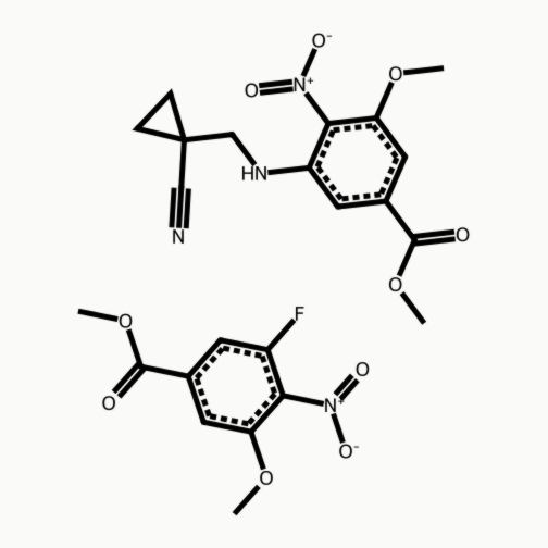 COC(=O)c1cc(F)c([N+](=O)[O-])c(OC)c1.COC(=O)c1cc(NCC2(C#N)CC2)c([N+](=O)[O-])c(OC)c1